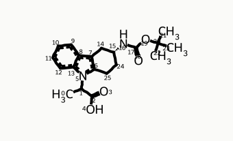 CC(C(=O)O)n1c2c(c3ccccc31)C[C@H](NC(=O)OC(C)(C)C)CC2